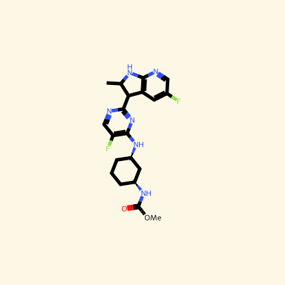 COC(=O)N[C@H]1CCC[C@@H](Nc2nc(C3c4cc(F)cnc4NC3C)ncc2F)C1